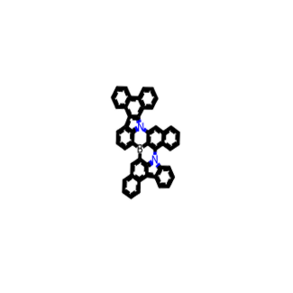 c1ccc2c3c4c(cc2c1)-n1c2c(cccc2c2c5ccccc5c5ccccc5c21)B4c1cc2ccccc2c2c4ccccc4n-3c12